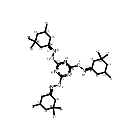 CC1C/C(=N/Oc2nc(O/N=C3/CC(C)CC(C)(C)C3)nc(O/N=C3/CC(C)CC(C)(C)C3)n2)CC(C)(C)C1